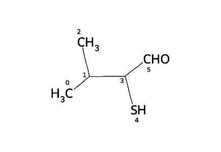 CC(C)C(S)C=O